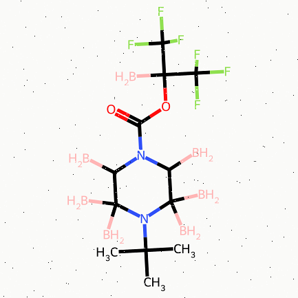 BC1N(C(=O)OC(B)(C(F)(F)F)C(F)(F)F)C(B)C(B)(B)N(C(C)(C)C)C1(B)B